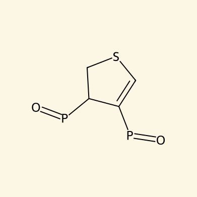 O=PC1=CSCC1P=O